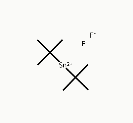 C[C](C)(C)[Sn+2][C](C)(C)C.[F-].[F-]